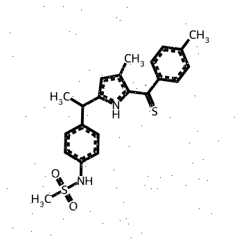 Cc1ccc(C(=S)c2[nH]c(C(C)c3ccc(NS(C)(=O)=O)cc3)cc2C)cc1